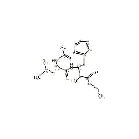 CCNC(=O)C(O)[C@H](Cc1ccccc1)NC(=O)[C@H](CC(C)C)NC(=O)O